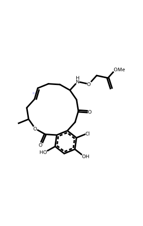 C=C(CONC1CC/C=C/CC(C)OC(=O)c2c(O)cc(O)c(Cl)c2CC(=O)C1)OC